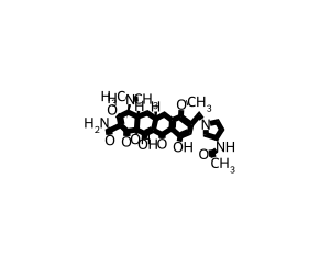 COc1c(CN2CC[C@H](NC(C)=O)C2)cc(O)c2c1C[C@H]1C[C@H]3[C@H](N(C)C)C(O)=C(C(N)=O)C(=O)[C@@]3(O)C(O)=C1C2=O